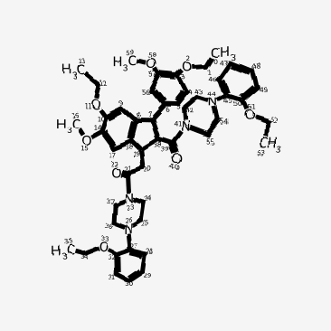 CCOc1ccc(C2c3cc(OCC)c(OC)cc3C(CC(=O)N3CCN(c4ccccc4OCC)CC3)C2C(=O)N2CCN(c3ccccc3OCC)CC2)cc1OC